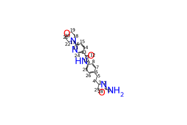 NC1=NC(CCc2ccc(NC(=O)c3ccc(N4CCOCC4)nc3)cc2)CO1